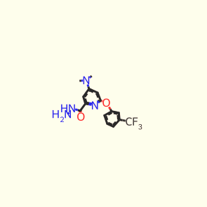 CN(C)c1cc(Oc2cccc(C(F)(F)F)c2)nc(C(=O)NN)c1